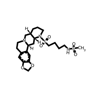 CS(=O)(=O)NCCCCS(=O)(=O)N1CCC[C@H]2CN3CCc4cc5c(cc4[C@@H]3C[C@H]21)OCO5